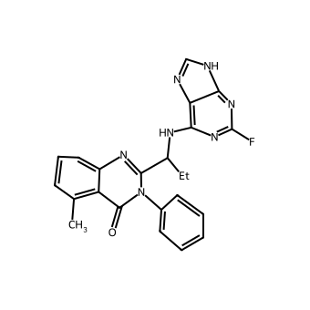 CCC(Nc1nc(F)nc2[nH]cnc12)c1nc2cccc(C)c2c(=O)n1-c1ccccc1